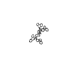 c1ccc2c(c1)cc(N(c1ccc3c(c1)oc1ccccc13)c1ccc3c(c1)sc1nc(N(c4ccc5c(c4)oc4ccccc45)c4cc5ccccc5c5ccccc45)ccc13)c1ccccc12